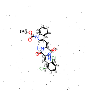 CC(C)(C)OC(=O)n1cc(C=c2[nH]c(=O)c(=Cc3c(Cl)cccc3Cl)[nH]c2=O)c2ccccc21